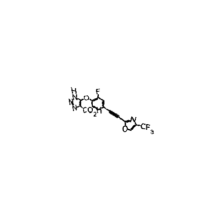 O=C(O)c1nn[nH]c1Oc1ccc(C#Cc2nc(C(F)(F)F)co2)cc1F